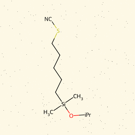 CC(C)O[Si](C)(C)CCCCCSC#N